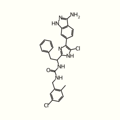 Cc1ccc(Cl)cc1CNC(=O)NC(Cc1ccccc1)c1nc(-c2ccc3c(N)n[nH]c3c2)c(Cl)[nH]1